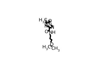 CC(C)OCCCCCNC(=O)c1ncn2c(=O)n(C)nnc12